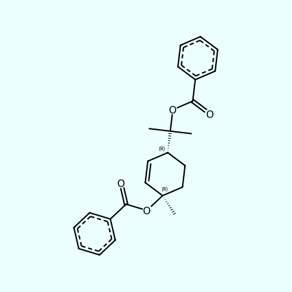 CC(C)(OC(=O)c1ccccc1)[C@H]1C=C[C@](C)(OC(=O)c2ccccc2)CC1